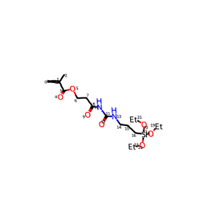 C=C(C)C(=O)OCCC(=O)NC(=O)NCCC[Si](OCC)(OCC)OCC